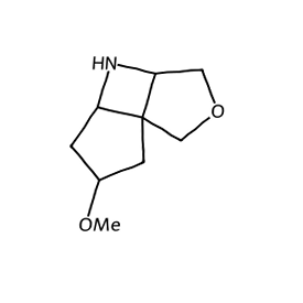 COC1CC2NC3COCC32C1